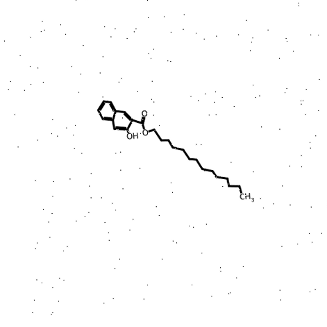 CCCCCCCCCCCCCCOC(=O)c1cc2ccccc2cc1O